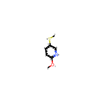 COc1ccc(SC)cn1